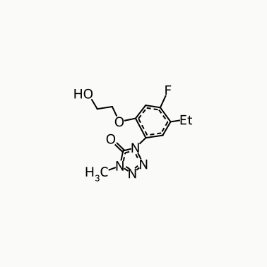 CCc1cc(-n2nnn(C)c2=O)c(OCCO)cc1F